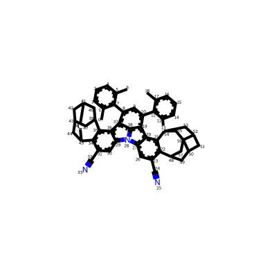 Cc1cccc(C)c1-c1cc(-c2c(C)cccc2C)c2c3c4c(c(C#N)cc3n3c5cc(C#N)c6c(c5c1c23)C1CC2CC(CC6C2)C1)C1CC2CC3CC4CC23C1